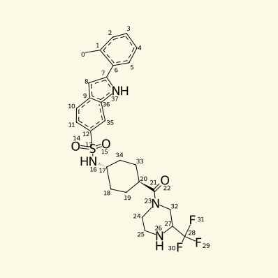 Cc1ccccc1-c1cc2ccc(S(=O)(=O)N[C@H]3CC[C@H](C(=O)N4CCNC(C(F)(F)F)C4)CC3)cc2[nH]1